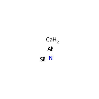 [Al].[CaH2].[N].[Si]